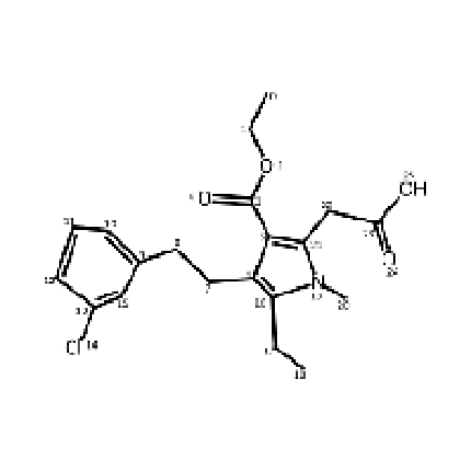 CCOC(=O)c1c(CCc2cccc(Cl)c2)c(CC)n(C)c1CC(=O)O